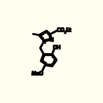 CCOC(=O)c1cc(C)n(Cc2cc(OC)ccc2O)n1